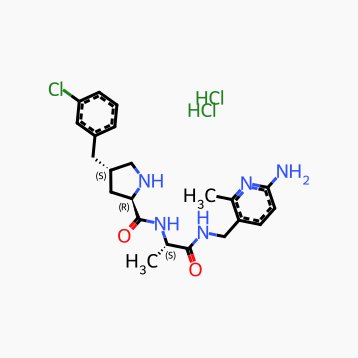 Cc1nc(N)ccc1CNC(=O)[C@H](C)NC(=O)[C@H]1C[C@H](Cc2cccc(Cl)c2)CN1.Cl.Cl